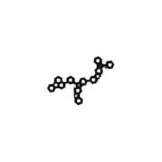 c1ccc(-n2c3ccccc3c3cc4c(cc32)oc2ccc(-c3ccc5c(c3)c3cc6c(cc3n5-c3cccc(-c5ccc7c8c(cccc58)-c5ccccc5-7)c3)oc3ccccc36)cc24)cc1